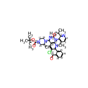 Cc1ccnc(C(C)C)c1-n1c(=O)nc(N2CCN(C(=O)OC(C)(C)C)C[C@@H]2C)c2cc(Cl)c(-c3ccccc3C=O)nc21